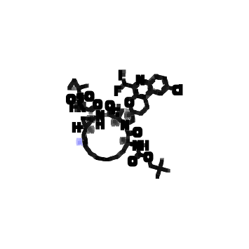 CC(C)(C)COC(=O)N[C@H]1CCCCC/C=C\[C@@H]2C[C@@]2(C(=O)NS(=O)(=O)C2(C)CC2)NC(=O)[C@@H]2C[C@]3(CCc4c(c(C(F)F)nc5ccc(Cl)cc45)O3)CN2C1=O